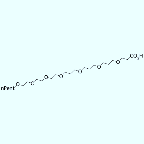 CCCCCOCCOCCOCCOCCCOCCCOCCCOCCC(=O)O